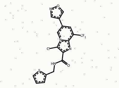 O=C(NCc1cccs1)c1nc2c(C(F)(F)F)cc(-c3cnoc3)cn2c1Cl